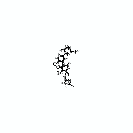 Cc1nc(COc2cc(C)n(-c3cc(-c4nc(C(C)C)ncc4C)ncc3Cl)c(=O)c2Br)co1